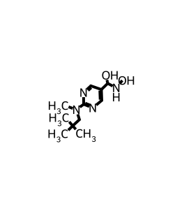 CN(CC(C)(C)C)c1ncc(C(O)NO)cn1